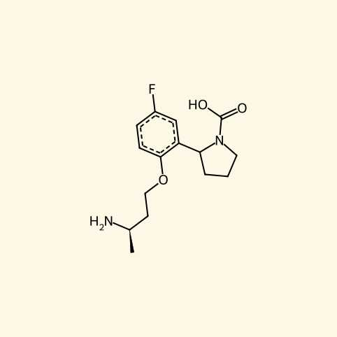 C[C@@H](N)CCOc1ccc(F)cc1C1CCCN1C(=O)O